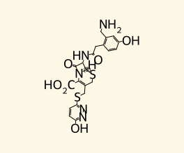 NCc1cc(O)ccc1CC(=O)NC1C(=O)N2C(C(=O)O)=C(CSc3ccc(O)nn3)CS[C@@H]12